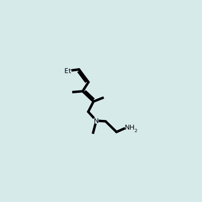 CC/C=C\C(C)=C(/C)CN(C)CCN